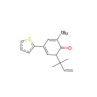 C=CC(C)(C)C1C=C(c2cccs2)C=C(C(C)(C)C)C1=O